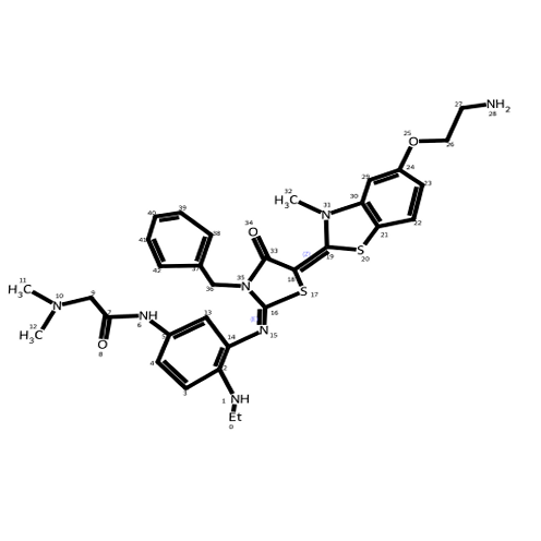 CCNc1ccc(NC(=O)CN(C)C)cc1/N=C1/S/C(=C2\Sc3ccc(OCCN)cc3N2C)C(=O)N1Cc1ccccc1